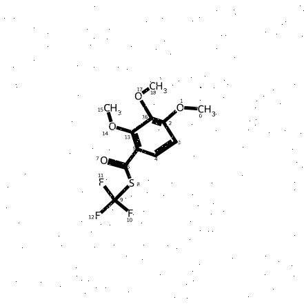 COc1ccc(C(=O)SC(F)(F)F)c(OC)c1OC